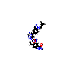 CNC(=O)c1ccc([C@H](C)CNc2cc(-c3ccc4c(cnn4CC4CC4)c3)ncn2)c(OC)c1